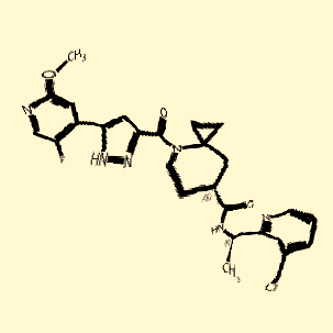 COc1cc(-c2cc(C(=O)N3CC[C@H](C(=O)N[C@H](C)c4ncccc4Cl)CC34CC4)n[nH]2)c(F)cn1